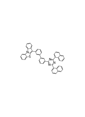 c1cc(-c2cccc(-c3c4ccccc4n4c3sc3ccccc34)c2)cc(-c2nc(-c3cccc4ccccc34)nc(-c3cccc4ccccc34)n2)c1